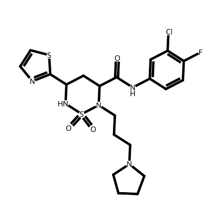 O=C(Nc1ccc(F)c(Cl)c1)C1CC(c2nccs2)NS(=O)(=O)N1CCCN1CCCC1